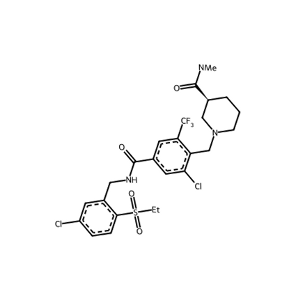 CCS(=O)(=O)c1ccc(Cl)cc1CNC(=O)c1cc(Cl)c(CN2CCC[C@H](C(=O)NC)C2)c(C(F)(F)F)c1